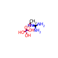 C=O.N=C(N)N.O=P(O)(O)O